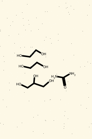 NC(N)=O.OCC(O)CO.OCCO.OCCO